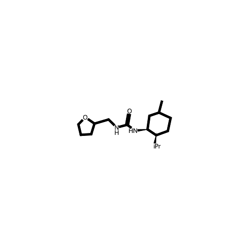 CC1CC[C@@H](C(C)C)[C@@H](NC(=O)NCC2CCCO2)C1